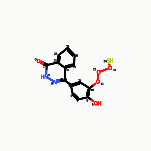 O=c1[nH]nc(-c2ccc(O)c(OOOS)c2)c2ccccc12